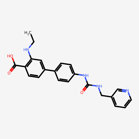 CCNc1cc(-c2ccc(NC(=O)NCc3cccnc3)cc2)ccc1C(=O)O